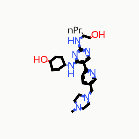 CCC[C@H](CO)Nc1ncc(-c2ccc(CN3CCN(C)CC3)cn2)c(N[C@H]2CC[C@H](O)CC2)n1